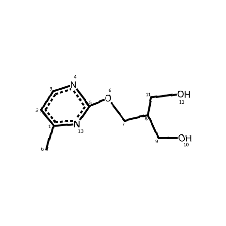 Cc1[c]cnc(OCC(CO)CO)n1